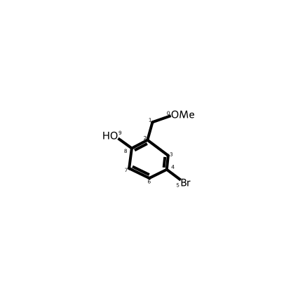 COCc1cc(Br)ccc1O